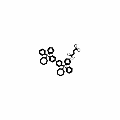 O=C([O-])CCC(=O)[O-].c1ccc([P+](c2ccccc2)(c2ccccc2)C2CCCCCC2)cc1.c1ccc([P+](c2ccccc2)(c2ccccc2)C2CCCCCC2)cc1